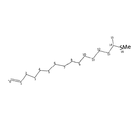 [CH]=CCCCCCCCCCCCCC(C)SC